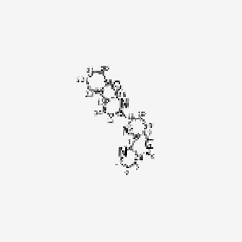 c1cnc2c(c1)ccc1ccc(-c3ccc4c(n3)oc3ccccc34)nc12